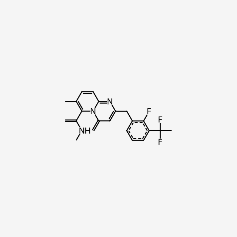 C=C(NC)C1=C(C)C=CC2=NC(Cc3cccc(C(C)(F)F)c3F)=CC(=C)N21